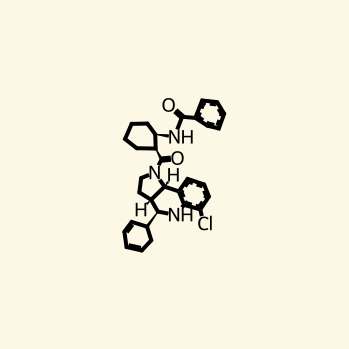 O=C(N[C@@H]1CCCC[C@@H]1C(=O)N1CC[C@@H]2[C@H](C3C=CC=CC3)Nc3c(Cl)cccc3[C@@H]21)c1ccccc1